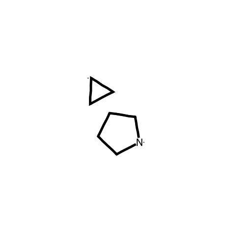 C1CC[N]C1.[CH]1CC1